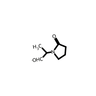 CC([C]=O)N1CCCC1=O